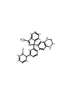 NC1=NC(c2cccc(C3C=CC=NC3F)c2)(c2ccc3c(c2)OCCO3)c2ccccc21